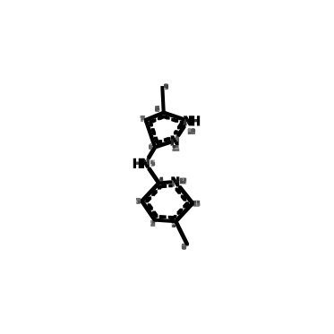 Cc1ccc(Nc2cc(C)[nH]n2)nc1